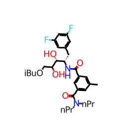 CCCN(CCC)C(=O)c1cc(C)cc(C(=O)N[C@@H](Cc2cc(F)cc(F)c2)[C@@H](O)C(O)COCC(C)C)c1